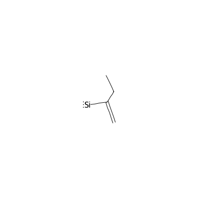 C=C([Si])CC